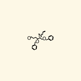 C=CCN(C)C(COCc1ccccc1)C(CCC=O)OCc1ccccc1